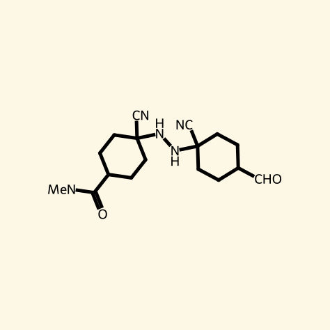 CNC(=O)C1CCC(C#N)(NNC2(C#N)CCC(C=O)CC2)CC1